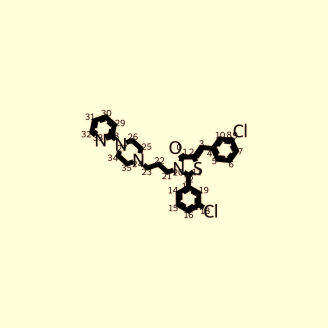 O=C1/C(=C/c2cccc(Cl)c2)SC(c2cccc(Cl)c2)N1CCCN1CCN(c2ccccn2)CC1